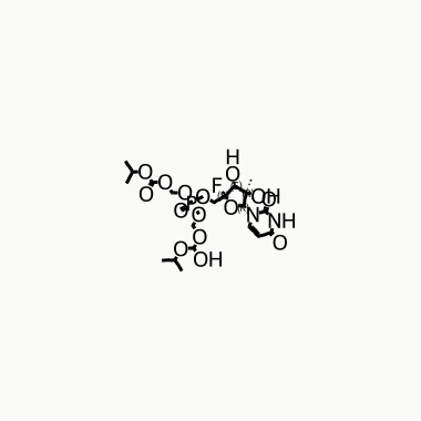 CC(C)OC(=O)OCOP(=O)(OCOC(O)OC(C)C)OC[C@@]1(F)O[C@@H](n2ccc(=O)[nH]c2=O)[C@](C)(O)[C@@H]1O